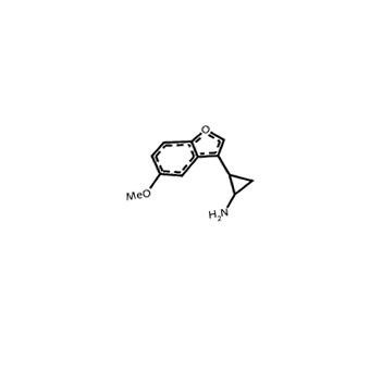 COc1ccc2occ(C3CC3N)c2c1